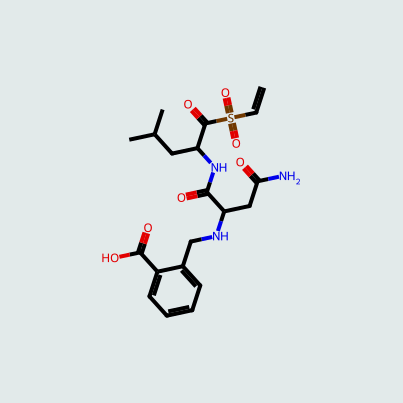 C=CS(=O)(=O)C(=O)C(CC(C)C)NC(=O)C(CC(N)=O)NCc1ccccc1C(=O)O